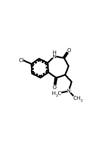 CN(C)CC1CC(=O)Nc2cc(Cl)ccc2C1=O